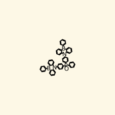 O=P(c1ccccc1)(c1ccc(N2c3ccccc3B(c3ccccc3)c3ccccc32)cc1)c1ccc(N2c3ccccc3B(c3ccccc3)c3ccccc32)cc1